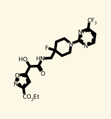 CCOC(=O)c1cc(C(O)C(=O)NCC2(F)CCN(c3nccc(C(F)(F)F)n3)CC2)on1